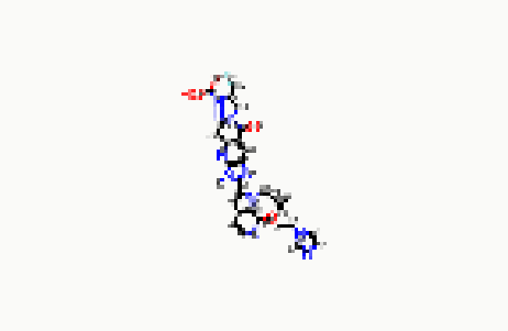 Cn1c(-c2cc3ccnc(OCCn4ccnc4)c3n2CC2CC2)nc2cc3c(nc21)CCN(CC(CF)NC(=O)O)C3=O